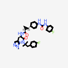 Cn1cc(C[C@@H](NC(=O)[C@H]2C[C@@H]2c2ccc(NC(=O)Nc3ccc(F)cc3)cc2)C(=O)NC(C)(C)Cc2ccc(F)cc2)cn1